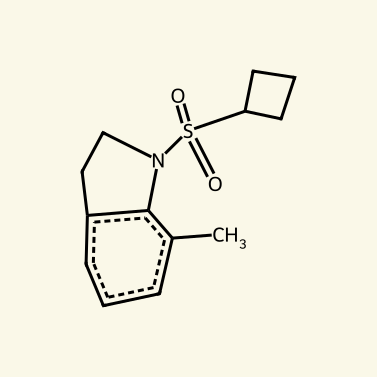 Cc1cccc2c1N(S(=O)(=O)C1CCC1)CC2